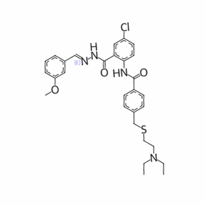 CCN(CC)CCSCc1ccc(C(=O)Nc2ccc(Cl)cc2C(=O)N/N=C/c2cccc(OC)c2)cc1